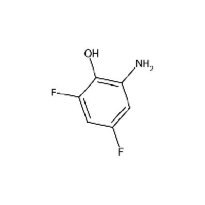 Nc1cc(F)cc(F)c1O